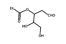 CCC(=O)OC(C[C]=O)C(O)CO